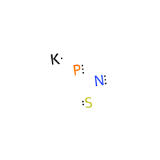 [K].[N].[P].[S]